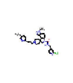 Cn1ncc2c3c(ccc21)N(C(=O)NCc1ccnc(Cl)c1)CC31CCN(CC=Cc2ccc(C(F)(F)F)cn2)CC1